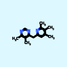 Cc1cc(Cc2ncnc(C)c2C)nc(C)c1C